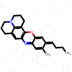 CCC/C=c1/cc2c(cc1C)=Nc1cc3c4c(c1O2)CCCN4CCC3